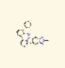 Cc1nc2cc3c(cc2n1C)CN=C3Nc1c(-c2ccccc2)cccc1-c1ccccc1